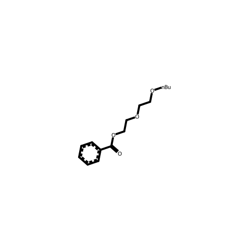 CCCCOCCOCCOC(=O)c1ccccc1